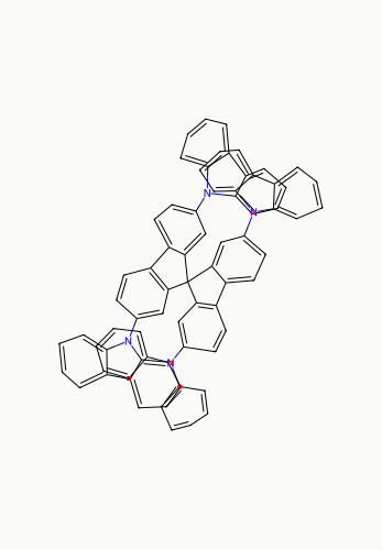 c1ccc(N(c2ccccc2)c2ccc3c(c2)C2(c4cc(-n5c6ccccc6c6ccccc65)ccc4-3)c3cc(-n4c5ccccc5c5ccccc54)ccc3-c3ccc(-n4c5ccccc5c5ccccc54)cc32)cc1